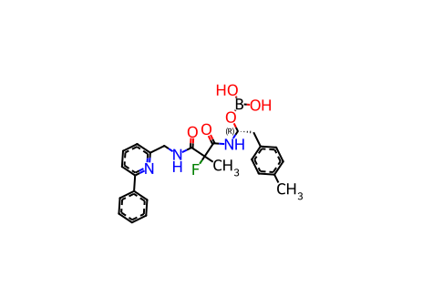 Cc1ccc(C[C@H](NC(=O)C(C)(F)C(=O)NCc2cccc(-c3ccccc3)n2)OB(O)O)cc1